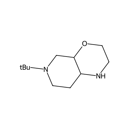 CC(C)(C)N1CCC2NCCOC2C1